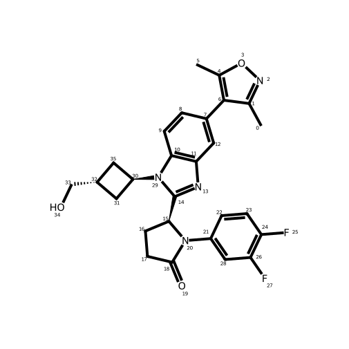 Cc1noc(C)c1-c1ccc2c(c1)nc([C@@H]1CCC(=O)N1c1ccc(F)c(F)c1)n2[C@H]1C[C@H](CO)C1